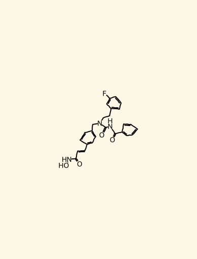 O=C(/C=C/c1ccc(CN(CCc2cccc(F)c2)C(=O)NC(=O)c2ccccc2)cc1)NO